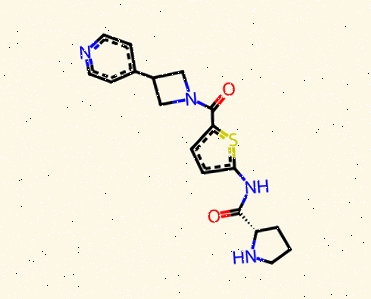 O=C(Nc1ccc(C(=O)N2CC(c3ccncc3)C2)s1)[C@@H]1CCCN1